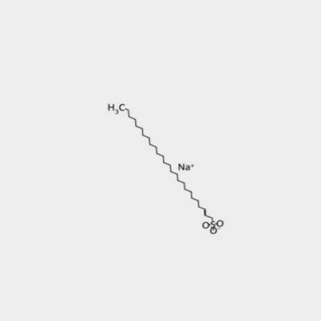 CCCCCCCCCCCCCCCCCCCCCCC/C=C/CS(=O)(=O)[O-].[Na+]